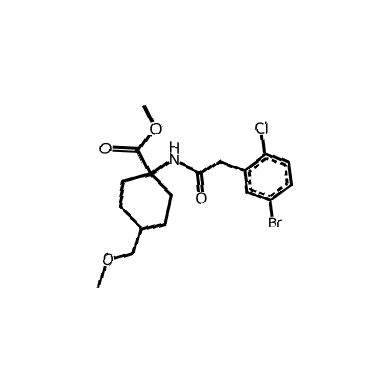 COCC1CCC(NC(=O)Cc2cc(Br)ccc2Cl)(C(=O)OC)CC1